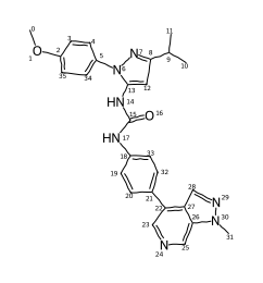 COc1ccc(-n2nc(C(C)C)cc2NC(=O)Nc2ccc(-c3cncc4c3cnn4C)cc2)cc1